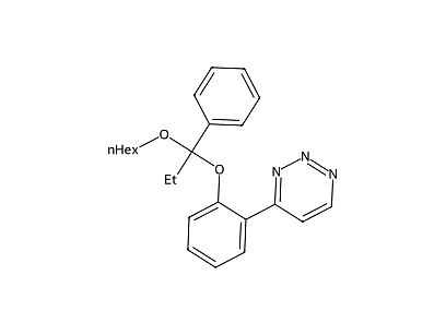 CCCCCCOC(CC)(Oc1ccccc1-c1ccnnn1)c1ccccc1